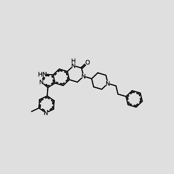 Cc1cc(-c2n[nH]c3cc4c(cc23)CN(C2CCN(CCc3ccccc3)CC2)C(=O)N4)ccn1